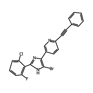 Fc1cccc(Cl)c1-c1nc(-c2ccc(C#Cc3ccccc3)nc2)c(Br)[nH]1